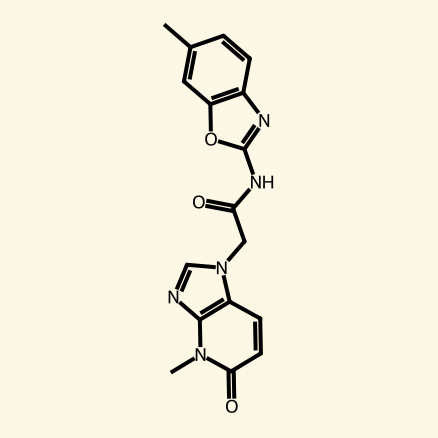 Cc1ccc2nc(NC(=O)Cn3cnc4c3ccc(=O)n4C)oc2c1